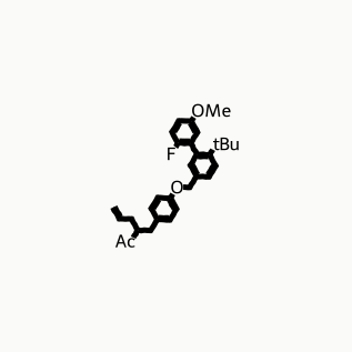 C=CCC(Cc1ccc(OCc2ccc(C(C)(C)C)c(-c3cc(OC)ccc3F)c2)cc1)C(C)=O